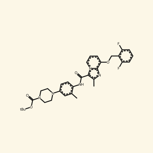 Cc1cc(N2CCN(C(=O)OC(C)(C)C)CC2)ccc1NC(=O)c1c(C)nc2c(OCc3c(F)cccc3F)cccn12